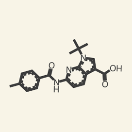 Cc1ccc(C(=O)Nc2ccc3c(C(=O)O)cn(C(C)(C)C)c3n2)cc1